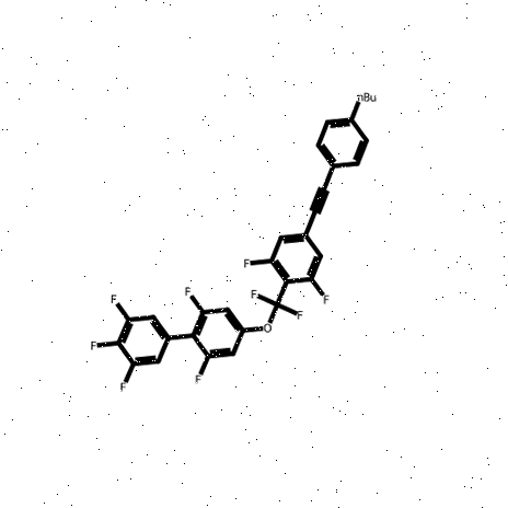 CCCCc1ccc(C#Cc2cc(F)c(C(F)(F)Oc3cc(F)c(-c4cc(F)c(F)c(F)c4)c(F)c3)c(F)c2)cc1